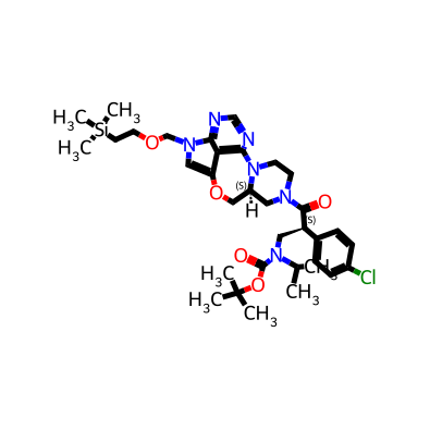 CC(C)N(C[C@@H](C(=O)N1CCN2c3ncnc4c3c(cn4COCC[Si](C)(C)C)OC[C@@H]2C1)c1ccc(Cl)cc1)C(=O)OC(C)(C)C